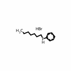 Br.CCCCCCCPc1ccccc1